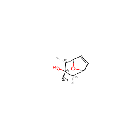 C[C@@H]1C2C=CC(O2)[C@H](C)[C@@]1(O)C(C)(C)C